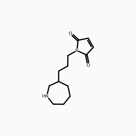 O=C1C=CC(=O)N1CCCC1CCCCNC1